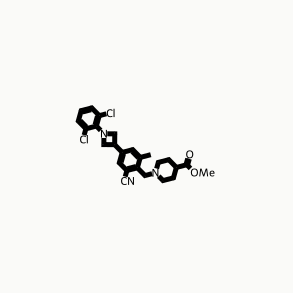 COC(=O)C1CCN(Cc2c(C)cc(C3CN(c4c(Cl)cccc4Cl)C3)cc2C#N)CC1